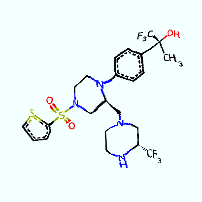 C[C@@](O)(c1ccc(N2CCN(S(=O)(=O)c3cccs3)C[C@@H]2CN2CCN[C@@H](C(F)(F)F)C2)cc1)C(F)(F)F